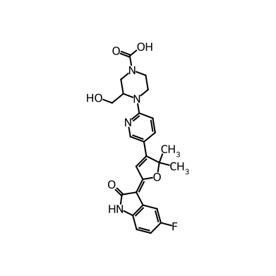 CC1(C)O/C(=C2/C(=O)Nc3ccc(F)cc32)C=C1c1ccc(N2CCN(C(=O)O)CC2CO)nc1